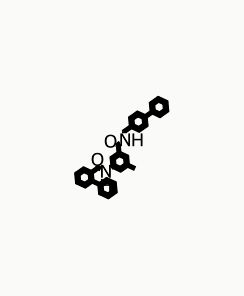 Cc1cc(NC(=O)c2ccccc2-c2ccccc2)cc(C(=O)NCc2ccc(-c3ccccc3)cc2)c1